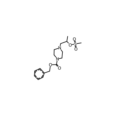 CC(CN1CCN(C(=O)OCc2ccccc2)CC1)OS(C)(=O)=O